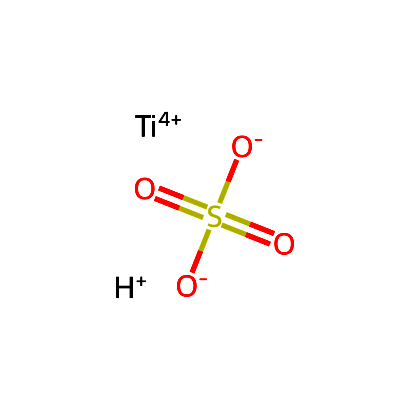 O=S(=O)([O-])[O-].[H+].[Ti+4]